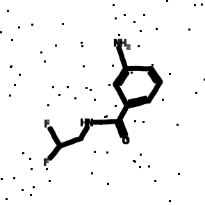 Nc1cccc(C(=O)NCC(F)F)c1